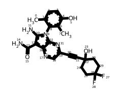 Cc1ccc(O)c(C)c1-n1c(N)c(C(N)=O)c2ncc(C#CC3(O)CCC(F)(F)CC3)nc21